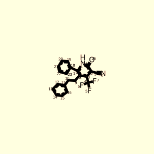 N#Cc1c(C(F)(F)F)c(CCc2ccccc2)c(-c2ccccc2)[nH]c1=O